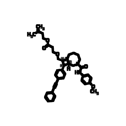 COc1ccc(NC(=O)N2CCCCN3[C@H](COCCC(=O)OCCN(C)C)[C@H](c4ccc(C#Cc5ccccc5)cc4)[C@@H]3C2)cc1